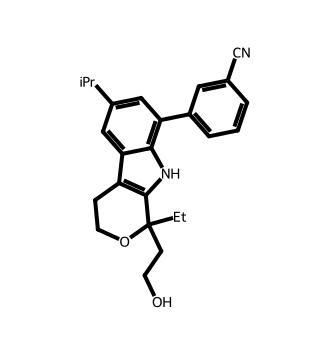 CCC1(CCO)OCCc2c1[nH]c1c(-c3cccc(C#N)c3)cc(C(C)C)cc21